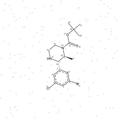 C[C@H]1[C@H](c2cc(Cl)cc(Br)c2)NCCN1C(=O)OC(C)(C)C